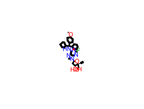 C#C[C@]1(CO)O[C@@H](n2cnc3c(NC(c4ccccc4)(c4ccccc4)c4ccc(OC)cc4)nc(F)nc32)C[C@@H]1O